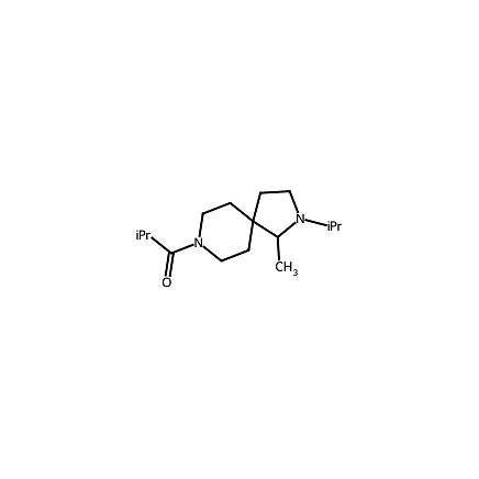 CC(C)C(=O)N1CCC2(CC1)CCN(C(C)C)C2C